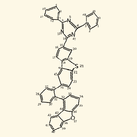 c1ccc(-c2nc(-c3ccccc3)nc(-c3ccc4c(c3)sc3ccc(-c5ccccc5-c5cccc6oc7ccccc7c56)cc34)n2)cc1